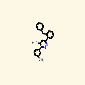 Cc1cccc(-c2nnc(-c3ccccc3Cc3ccccc3)cc2C)c1